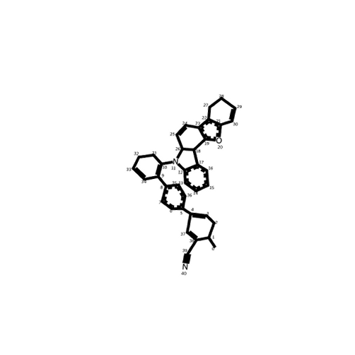 CC1CC=C(c2ccc(C3=C(N4c5ccccc5C5c6oc7c(c6C=CC54)CCC=C7)CCC=C3)cc2)C=C1C#N